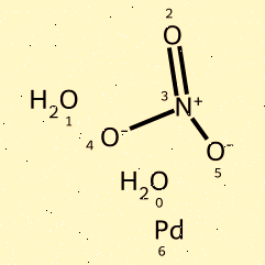 O.O.O=[N+]([O-])[O-].[Pd]